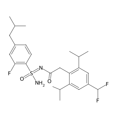 CC(C)Cc1ccc(S(N)(=O)=NC(=O)Cc2c(C(C)C)cc(C(F)F)cc2C(C)C)c(F)c1